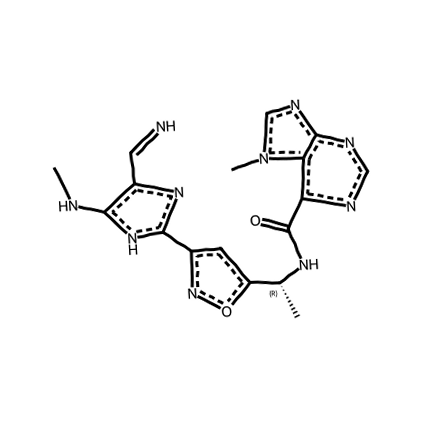 CNc1[nH]c(-c2cc([C@@H](C)NC(=O)c3ncnc4ncn(C)c34)on2)nc1C=N